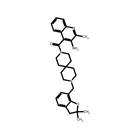 Cc1nc2ccccc2c(C(=O)N2CCC3(CCN(Cc4cccc5c4OC(C)(C)C5)CC3)CC2)c1N